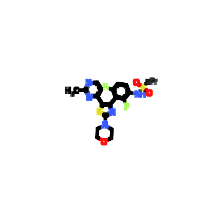 CCCS(=O)(=O)Nc1ccc(F)c(-c2nc(N3CCOCC3)sc2-c2ccnc(C)n2)c1F